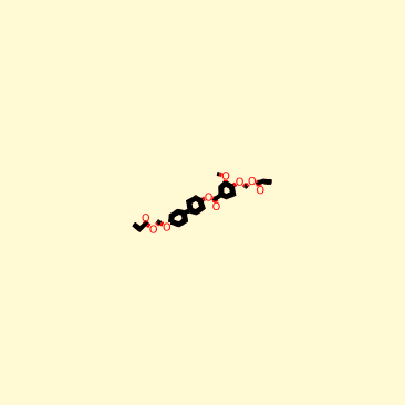 C=CC(=O)OCOc1ccc(-c2ccc(OC(=O)c3ccc(OCOC(=O)C=C)c(OC)c3)cc2)cc1